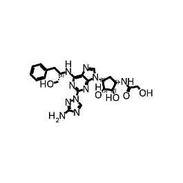 Nc1ncn(-c2nc(N[C@H](CO)Cc3ccccc3)c3ncn([C@@H]4C[C@H](NC(=O)CO)[C@@H](O)[C@H]4O)c3n2)n1